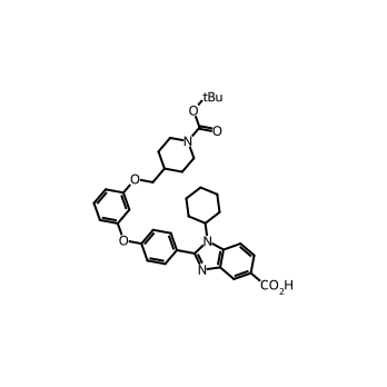 CC(C)(C)OC(=O)N1CCC(COc2cccc(Oc3ccc(-c4nc5cc(C(=O)O)ccc5n4C4CCCCC4)cc3)c2)CC1